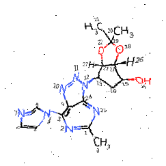 Cc1nc(-n2ccnc2)c2nnn([C@@H]3C[C@H](O)[C@H]4OC(C)(C)O[C@H]43)c2n1